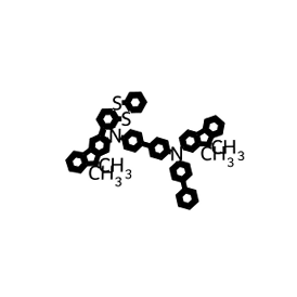 CC1(C)c2ccccc2-c2ccc(N(c3ccc(-c4ccccc4)cc3)c3ccc(-c4ccc(-n5c6cc7c(cc6c6ccc8c(c65)Sc5ccccc5S8)-c5ccccc5C7(C)C)cc4)cc3)cc21